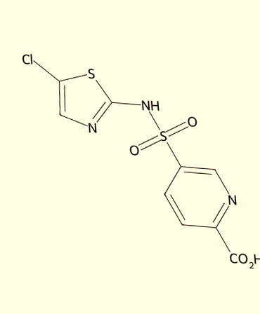 O=C(O)c1ccc(S(=O)(=O)Nc2ncc(Cl)s2)cn1